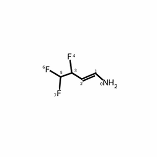 NC=CC(F)C(F)F